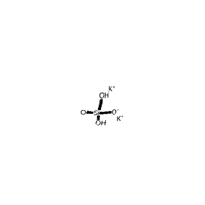 [K+].[K+].[O-][Si]([O-])(O)O